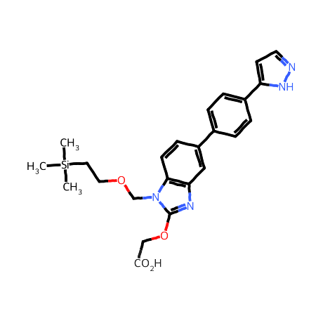 C[Si](C)(C)CCOCn1c(OCC(=O)O)nc2cc(-c3ccc(-c4ccn[nH]4)cc3)ccc21